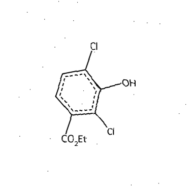 CCOC(=O)c1ccc(Cl)c(O)c1Cl